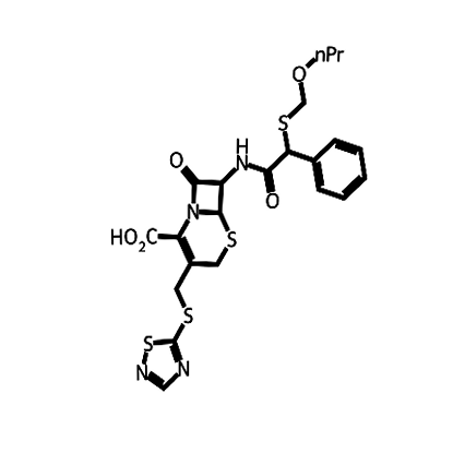 CCCOCSC(C(=O)NC1C(=O)N2C(C(=O)O)=C(CSc3ncns3)CSC12)c1ccccc1